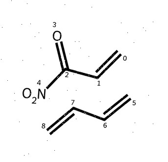 C=CC(=O)[N+](=O)[O-].C=CC=C